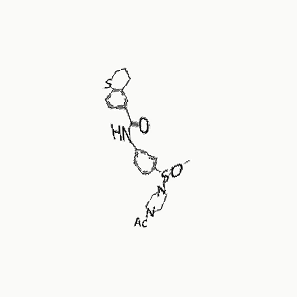 CC(=O)N1CCN([S+]([O-])c2ccc(NC(=O)c3ccc4c(c3)CCCS4)cc2)CC1